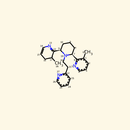 Cc1cccnc1[C@@H]1CCC[C@H](C2=NC=CCC2C)N1CCc1ccccn1